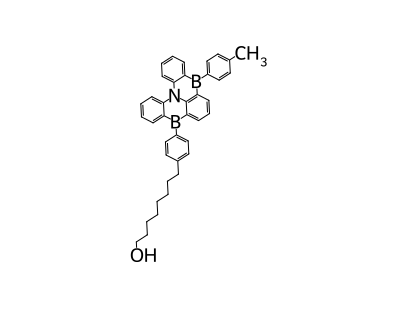 Cc1ccc(B2c3ccccc3N3c4ccccc4B(c4ccc(CCCCCCCCO)cc4)c4cccc2c43)cc1